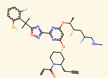 C#CC[C@@H]1C[C@@H](Oc2cc(O[C@@H](C)[C@@H](C)C[C@H](F)CNC)nc(-c3noc(C(C)(C)c4c(F)cccc4P)n3)n2)CCN1C(=O)C=C